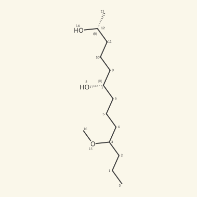 CCCC(CCC[C@H](O)CCC[C@@H](C)O)OC